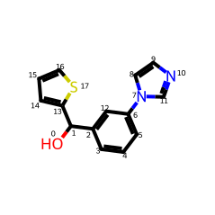 OC(c1cccc(-n2ccnc2)c1)c1cccs1